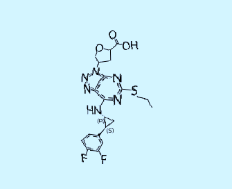 CCCSc1nc(N[C@@H]2C[C@H]2c2ccc(F)c(F)c2)c2nnn(C3COC(C(=O)O)C3)c2n1